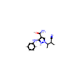 CC(C#N)C(C)n1cc(C(N)=O)c(Nc2ccccc2)n1